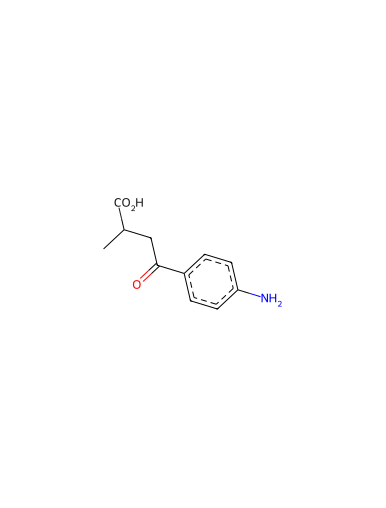 CC(CC(=O)c1ccc(N)cc1)C(=O)O